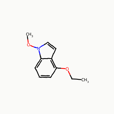 CCOc1c[c]cc2c1ccn2OC